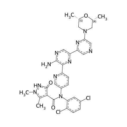 Cc1c(C(=O)N(c2ccc(-c3nc(-c4cncc(N5C[C@@H](C)O[C@@H](C)C5)n4)cnc3N)nc2)c2cc(Cl)ccc2Cl)c(=O)[nH]n1C